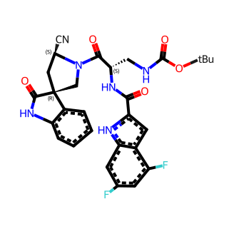 CC(C)(C)OC(=O)NC[C@H](NC(=O)c1cc2c(F)cc(F)cc2[nH]1)C(=O)N1C[C@]2(C[C@H]1C#N)C(=O)Nc1ccccc12